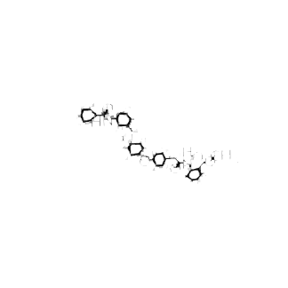 COC(=O)c1ccccc1NC(=O)Cc1ccc(Oc2ccc(OCc3cccc(NC(=O)c4ccccc4)c3)cc2)cc1